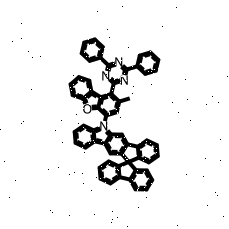 Cc1cc(-n2c3ccccc3c3cc4c(cc32)-c2ccccc2C42c3ccccc3-c3ccccc32)c2oc3ccccc3c2c1-c1nc(-c2ccccc2)nc(-c2ccccc2)n1